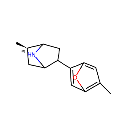 Cc1cc2oc1cc2C1CC2NC1C[C@H]2C